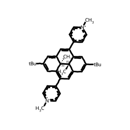 C[n+]1ccc(C2=CC3=CC(C(C)(C)C)=CC4=C(c5cc[n+](C)cc5)C=C5C=C(C(C)(C)C)C=C2[C@@]5(C)[C@]34C)cc1